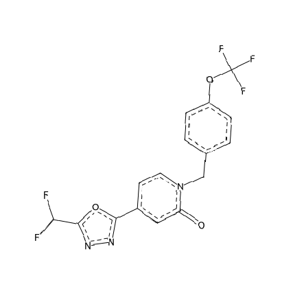 O=c1cc(-c2nnc(C(F)F)o2)ccn1Cc1ccc(OC(F)(F)F)cc1